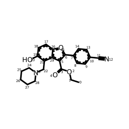 CCOC(=O)c1c(-c2ccc(C#N)cc2)oc2ccc(O)c(CN3CCCCC3)c12